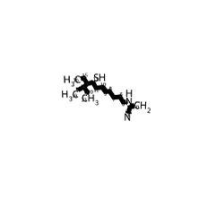 C=C(C#N)NCCCC/C=C/CC(S)C(CC)C(CC)CC